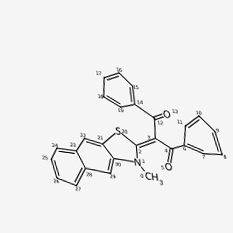 CN1C(=C(C(=O)c2ccccc2)C(=O)c2ccccc2)Sc2cc3ccccc3cc21